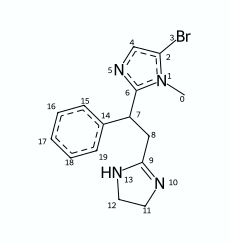 Cn1c(Br)cnc1C(CC1=NCCN1)c1ccccc1